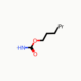 CC(C)CCCOC([NH])=O